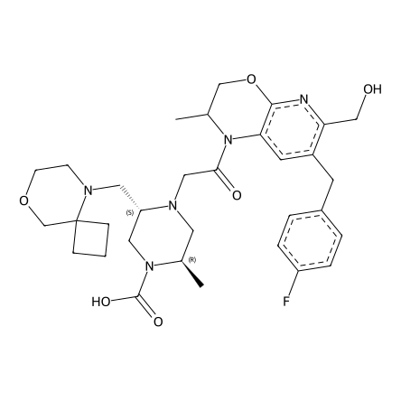 CC1COc2nc(CO)c(Cc3ccc(F)cc3)cc2N1C(=O)CN1C[C@@H](C)N(C(=O)O)C[C@@H]1CN1CCOCC12CCC2